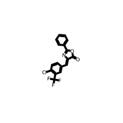 O=C1OC(c2ccccc2)=NC1=Cc1ccc(Cl)c(C(F)(F)F)c1